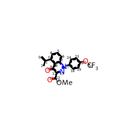 C=C(C)c1cccc2c1c(=O)c(C(=O)OC)nn2-c1ccc(OC(F)(F)F)cc1